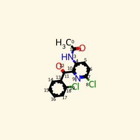 CC(=O)Nc1ccc(Cl)nc1C(=O)c1ccccc1Cl